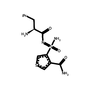 CC(C)C[C@H](N)C(=O)N=S(N)(=O)c1cscc1C(N)=O